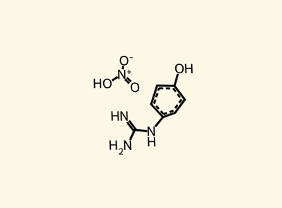 N=C(N)Nc1ccc(O)cc1.O=[N+]([O-])O